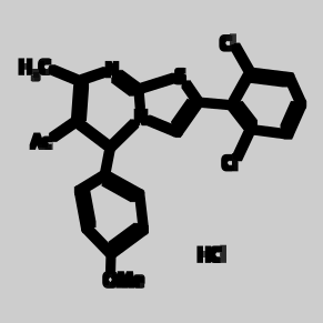 COc1ccc(C2C(C(C)=O)=C(C)N=C3SC(c4c(Cl)cccc4Cl)=CN32)cc1.Cl